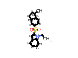 CCn1c(S(=O)(=O)c2ccc3c(c2)CCC3C)cc2ccccc21